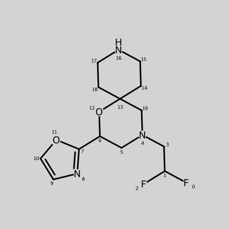 FC(F)CN1CC(c2ncco2)OC2(CCNCC2)C1